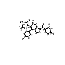 Cc1ccc(-c2c3c(cc(C)c2C(OC(C)(C)C)C(=O)O)N(C(=O)c2ccc(F)cc2C)CC3)cc1